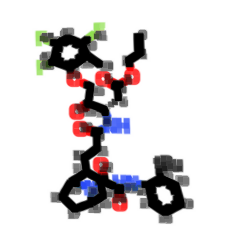 C=CCOC(=O)C[C@H](NC(=O)CCC1CCC2CCC1N2C(=O)C(=O)Nc1ccccc1C(C)(C)C)C(=O)COc1c(C)c(F)cc(F)c1F